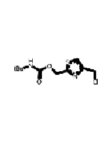 CC(C)(C)NC(=O)OCc1nc(CCl)cs1